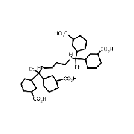 CCC(PCCCPC(CC)(C1CCCC(C(=O)O)C1)C1CCCC(C(=O)O)C1)(C1CCCC(C(=O)O)C1)C1CCCC(C(=O)O)C1